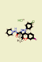 CC1(C)Oc2cc(I)ccc2-c2c1c(C(=O)NN1CCCCC1)nn2-c1ccc(Cl)cc1.Cl